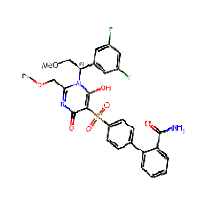 COC[C@@H](c1cc(F)cc(F)c1)n1c(COC(C)C)nc(=O)c(S(=O)(=O)c2ccc(-c3ccccc3C(N)=O)cc2)c1O